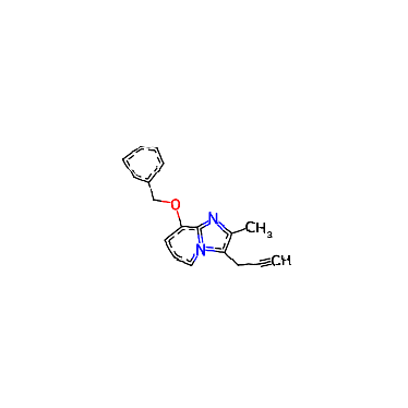 C#CCc1c(C)nc2c(OCc3ccccc3)cccn12